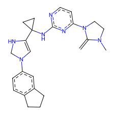 C=C1N(C)CCN1c1ccnc(NC2(C3=CN(c4ccc5c(c4)CCC5)CN3)CC2)n1